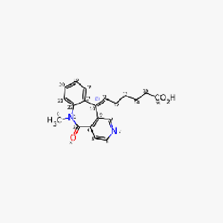 CN1C(=O)c2ccncc2/C(=C\CCCCC(=O)O)c2ccccc21